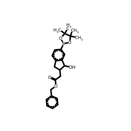 CC1(C)OB(c2ccc3c(c2)C(O)C(CC(=O)OCc2ccccc2)C3)OC1(C)C